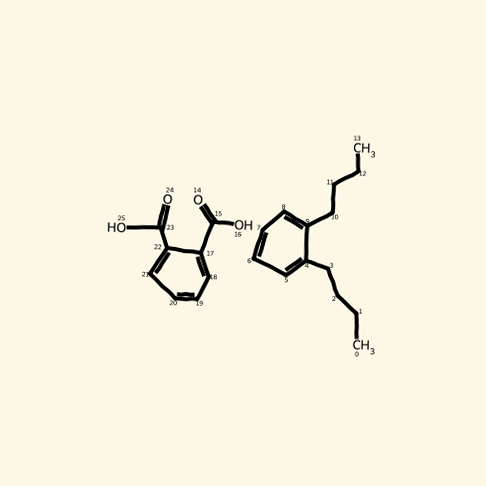 CCCCc1ccccc1CCCC.O=C(O)c1ccccc1C(=O)O